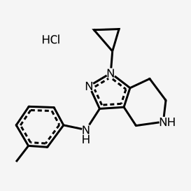 Cc1cccc(Nc2nn(C3CC3)c3c2CNCC3)c1.Cl